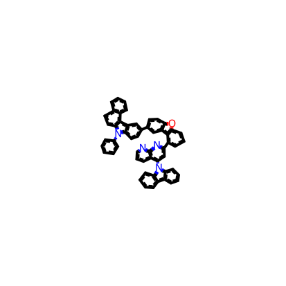 c1ccc(-n2c3ccc(-c4ccc5oc6cccc(-c7cc(-n8c9ccccc9c9ccccc98)c8cccnc8n7)c6c5c4)cc3c3c4ccccc4ccc32)cc1